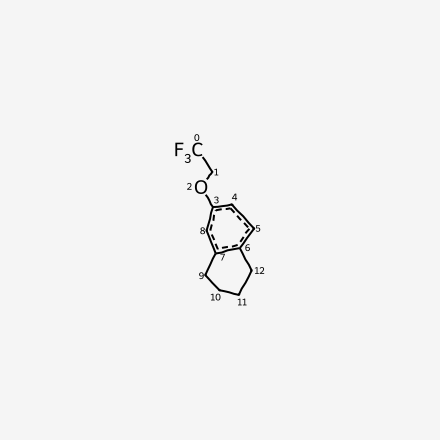 FC(F)(F)COc1ccc2c(c1)CCCC2